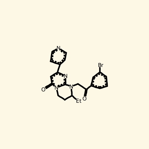 CCC1CCn2c(nc(-c3ccncc3)cc2=O)N1CC(=O)c1cccc(Br)c1